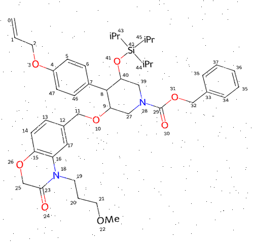 C=CCOc1ccc(C2C(OCc3ccc4c(c3)N(CCCOC)C(=O)CO4)CN(C(=O)OCc3ccccc3)CC2O[Si](C(C)C)(C(C)C)C(C)C)cc1